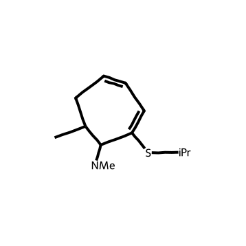 CNC1C(SC(C)C)=CC=CCC1C